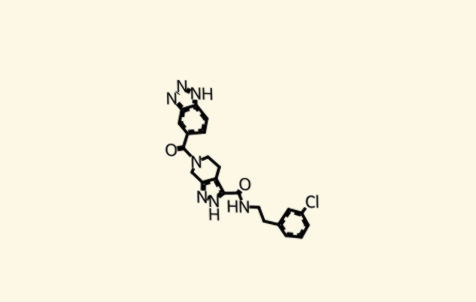 O=C(NCCc1cccc(Cl)c1)c1[nH]nc2c1CCN(C(=O)c1ccc3[nH]nnc3c1)C2